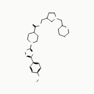 COc1ccc(-c2noc(N3CCC(C(=O)NCC4CCN(CC5CCCCN5)C4)CC3)n2)cc1